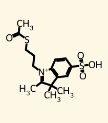 CC(=O)SCCC[N+]1=C(C)C(C)(C)c2cc(S(=O)(=O)O)ccc21